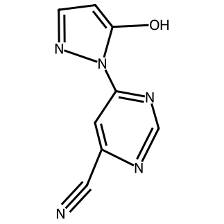 N#Cc1cc(-n2nccc2O)ncn1